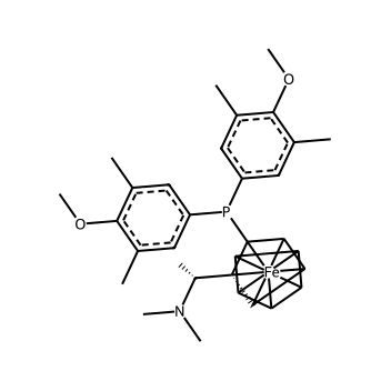 COc1c(C)cc(P(c2cc(C)c(OC)c(C)c2)[C]23[CH]4[CH]5[CH]6[C@@]2([C@@H](C)N(C)C)[Fe]54632789[CH]3[CH]2[CH]7[CH]8[CH]39)cc1C